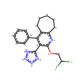 FC(F)COc1nc2c(c(-c3ccccc3)c1-c1nnn[nH]1)CCCCC2